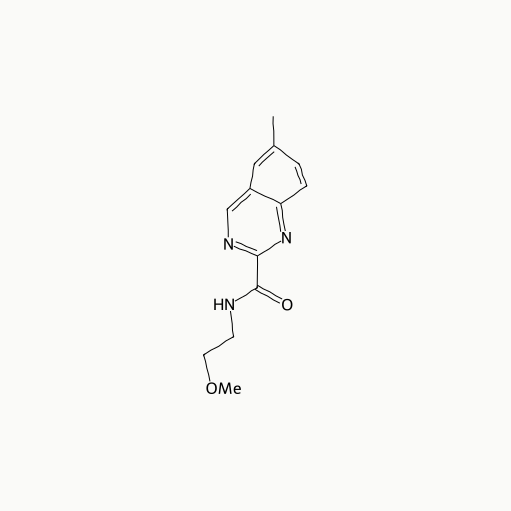 COCCNC(=O)c1ncc2cc(C)ccc2n1